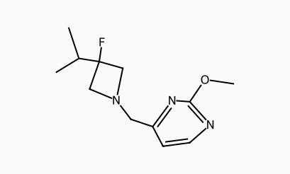 COc1nccc(CN2CC(F)(C(C)C)C2)n1